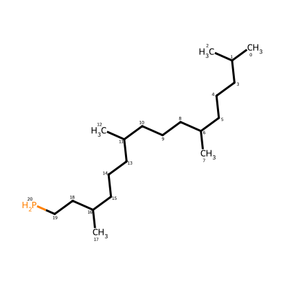 CC(C)CCCC(C)CCCC(C)CCCC(C)CCP